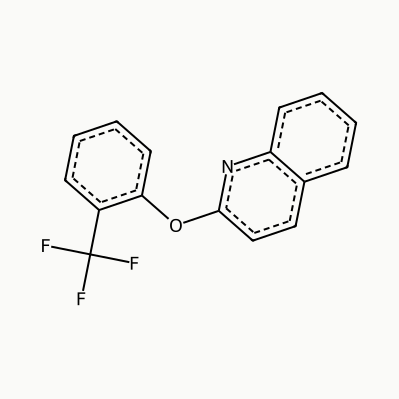 FC(F)(F)c1ccccc1Oc1ccc2ccccc2n1